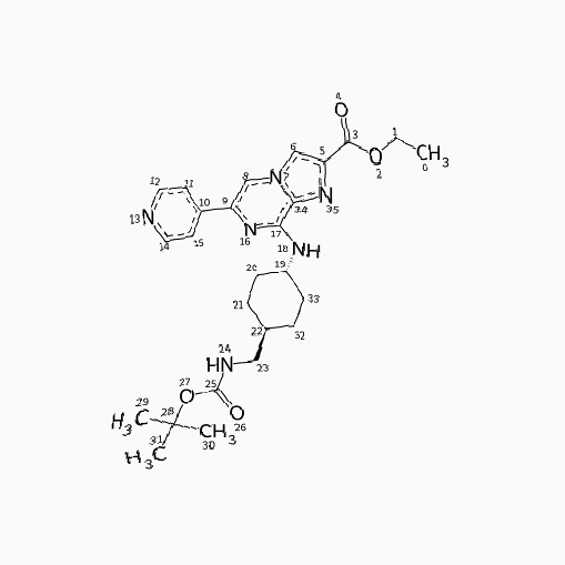 CCOC(=O)c1cn2cc(-c3ccncc3)nc(N[C@H]3CC[C@H](CNC(=O)OC(C)(C)C)CC3)c2n1